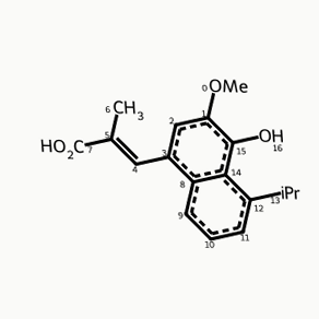 COc1cc(C=C(C)C(=O)O)c2cccc(C(C)C)c2c1O